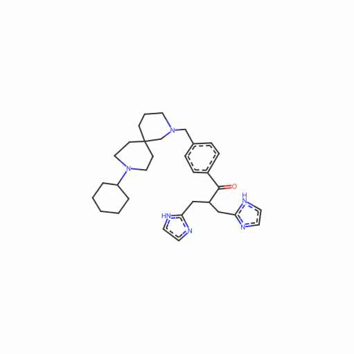 O=C(c1ccc(CN2CCCC3(CCN(C4CCCCC4)CC3)C2)cc1)C(Cc1ncc[nH]1)Cc1ncc[nH]1